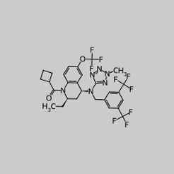 CC[C@@H]1C[C@H](N(Cc2cc(C(F)(F)F)cc(C(F)(F)F)c2)c2nnn(C)n2)c2cc(OC(F)(F)F)ccc2N1C(=O)C1CCC1